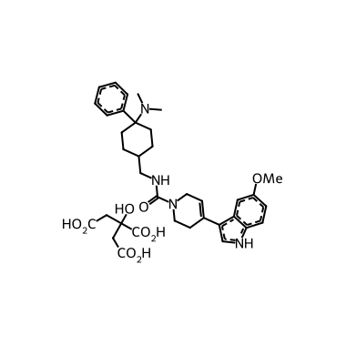 COc1ccc2[nH]cc(C3=CCN(C(=O)NCC4CCC(c5ccccc5)(N(C)C)CC4)CC3)c2c1.O=C(O)CC(O)(CC(=O)O)C(=O)O